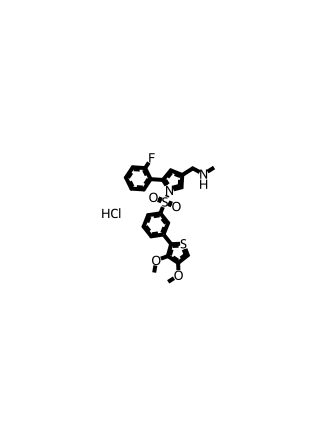 CNCc1cc(-c2ccccc2F)n(S(=O)(=O)c2cccc(-c3scc(OC)c3OC)c2)c1.Cl